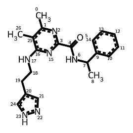 Cc1nc(C(=O)NC(C)c2ccccc2)nc(NCCc2cn[nH]c2)c1C